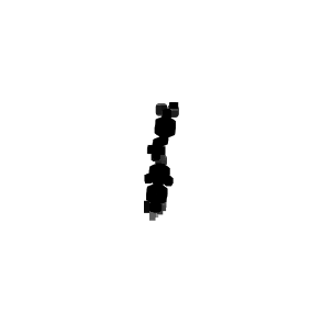 COC(=O)c1ccc(CCC(C)(C)COc2cc(C)c(-c3ccc(C(F)(F)F)cc3)c(C)c2)cc1